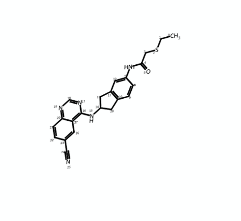 CCSCC(=O)Nc1ccc2c(c1)CC(Nc1ncnc3ccc(C#N)cc13)C2